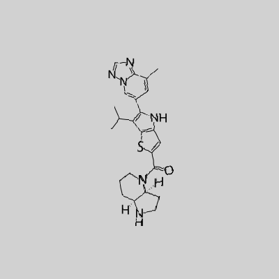 Cc1cc(-c2[nH]c3cc(C(=O)N4CCC[C@@H]5NCC[C@@H]54)sc3c2C(C)C)cn2ncnc12